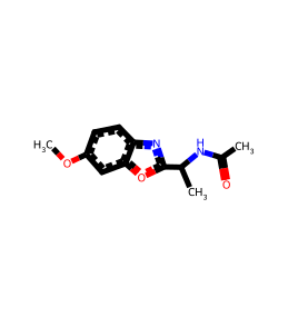 COc1ccc2nc(C(C)NC(C)=O)oc2c1